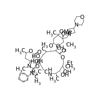 CC[C@H]1OC(=O)[C@H](C)[C@@H](O[C@H]2C[C@@](C)(OC)[C@](O)(CN3CC(N4CCOCC4)C3)[C@H](C)O2)[C@H](C)[C@@H](O[C@@H]2O[C@H](C)C[C@H](N(C)C(=O)N(C)c3ccccc3)[C@H]2O)[C@](C)(O)C[C@@H](C)CN[C@H](C)[C@@H](O)[C@]1(C)O